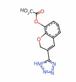 O=C(O)C(=O)Oc1cccc2c1OCC(c1nnn[nH]1)=C2